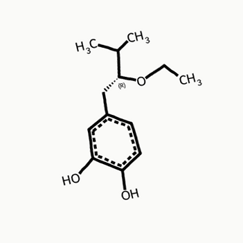 CCO[C@H](Cc1ccc(O)c(O)c1)C(C)C